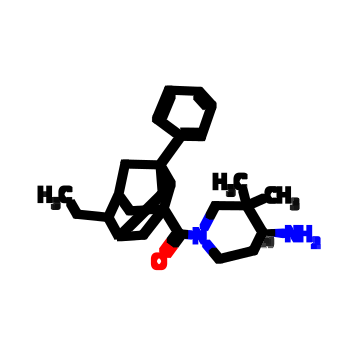 CCC1C2CC3(C(=O)N4CC[C@H](N)C(C)(C)C4)CC1CC(c1ccccc1)(C2)C3